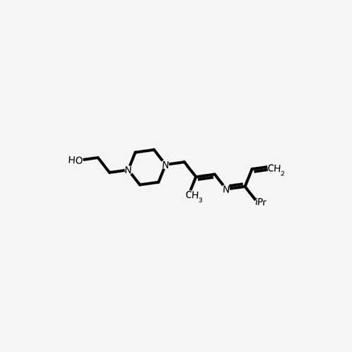 C=C/C(=N\C=C(/C)CN1CCN(CCO)CC1)C(C)C